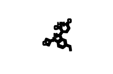 CCc1ccc2c(c1)c(C1CCC(=O)NC1=O)nn2C1COC1